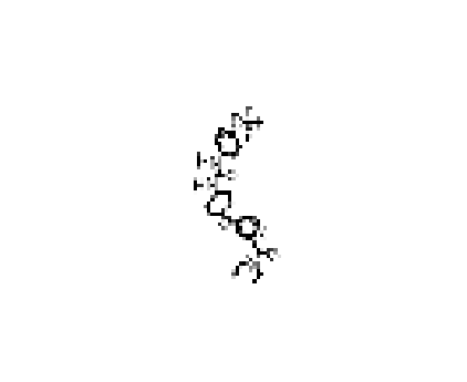 CCN(CC)C(=O)c1cc(OC2CCC(NC(=O)Nc3ccc(OC(F)(F)F)cc3)CC2)ccn1